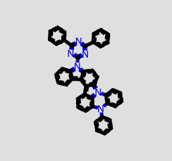 c1ccc(-c2nc(-c3ccccc3)nc(-n3c4ccccc4c4c5c6cccc7c6n(c5ccc43)-c3ccccc3N7c3ccccc3)n2)cc1